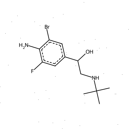 CC(C)(C)NCC(O)c1cc(F)c(N)c(Br)c1